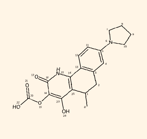 CC1Cc2cc(N3CCCC3)ccc2-c2[nH]c(=O)c(OC(=O)O)c(O)c21